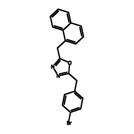 Brc1ccc(Cc2nnc(Cc3cccc4ccccc34)o2)cc1